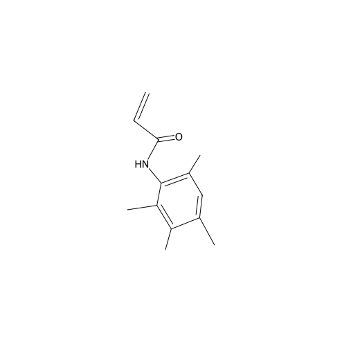 C=CC(=O)Nc1c(C)cc(C)c(C)c1C